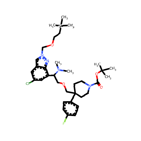 CN(C)C(COCC1(c2ccc(F)cc2)CCN(C(=O)OC(C)(C)C)CC1)c1cc(Cl)cc2cn(COCC[Si](C)(C)C)nc12